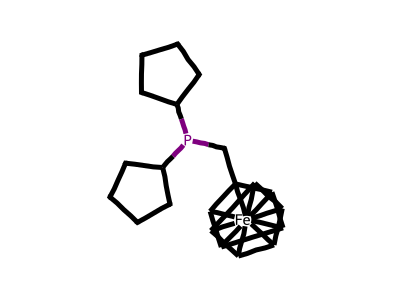 C1CCC(P(C[C]23[CH]4[CH]5[CH]6[CH]2[Fe]56432789[CH]3[CH]2[CH]7[CH]8[CH]39)C2CCCC2)C1